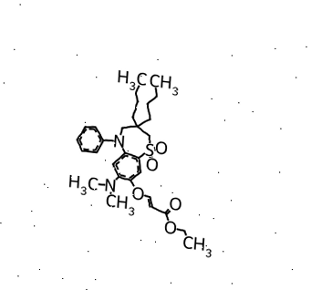 CCCCC1(CCCC)CN(c2ccccc2)c2cc(N(C)C)c(O/C=C/C(=O)OCC)cc2S(=O)(=O)C1